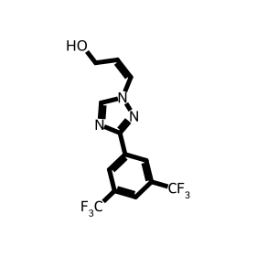 OC/C=C\n1cnc(-c2cc(C(F)(F)F)cc(C(F)(F)F)c2)n1